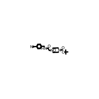 CC(C)(C)OC(=O)N1CC2CN(CC(=O)NCc3ccc(C#N)cc3)CC(C1)O2